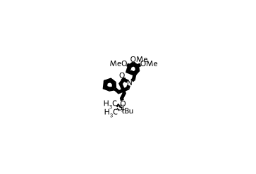 COc1cc(CN2CC(CCO[Si](C)(C)C(C)(C)C)(Cc3ccccc3)CC2=O)cc(OC)c1OC